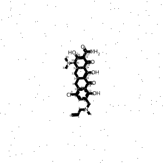 C=CCN(C)Cc1cc(Cl)c2c(c1O)C(=O)C1=C(O)C3C(=O)C(C(N)=O)=C(O)[C@H](N(C)C)C3CC1C2